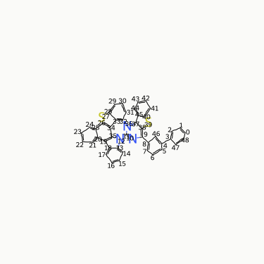 c1ccc(-c2cccc(-c3nc(-n4c5ccccc5c5c6ccccc6c6sc7ccccc7c6c54)nc4c3sc3ccccc34)c2)cc1